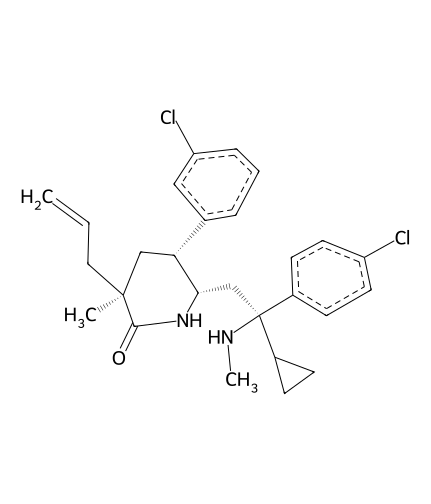 C=CC[C@@]1(C)C[C@H](c2cccc(Cl)c2)[C@H](C[C@](NC)(c2ccc(Cl)cc2)C2CC2)NC1=O